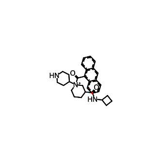 O=C(NC1CCC1)C1CCC[N+](C(=O)c2c3ccccc3cc3ccccc23)(C2CCNCC2)C1